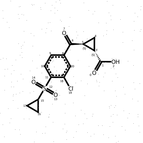 O=C(O)[C@H]1C[C@@H]1C(=O)c1ccc(S(=O)(=O)C2CC2)c(Cl)c1